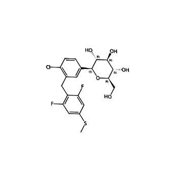 CSc1cc(F)c(Cc2cc([C@@H]3O[C@H](CO)[C@@H](O)[C@H](O)[C@H]3O)ccc2Cl)c(F)c1